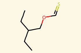 CCC(CC)COC=S